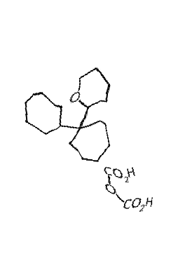 C1CCC(C2(C3CCCCO3)CCCCC2)CC1.O=C(O)OC(=O)O